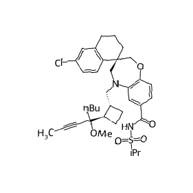 CC#CC(CCCC)(OC)[C@@H]1CC[C@H]1CN1C[C@@]2(CCCc3cc(Cl)ccc32)COc2ccc(C(=O)NS(=O)(=O)C(C)C)cc21